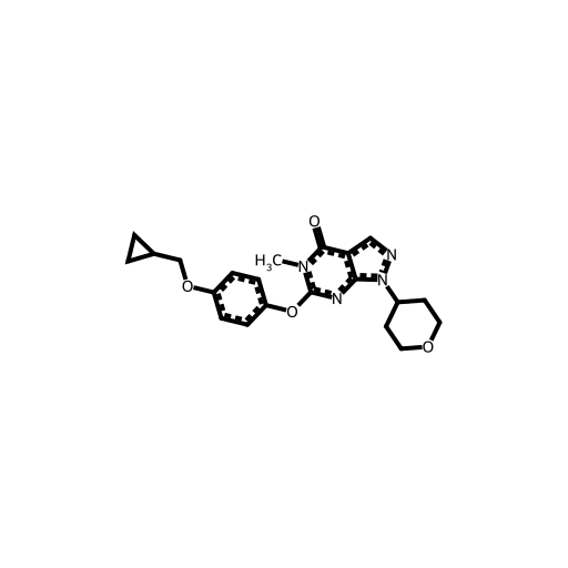 Cn1c(Oc2ccc(OCC3CC3)cc2)nc2c(cnn2C2CCOCC2)c1=O